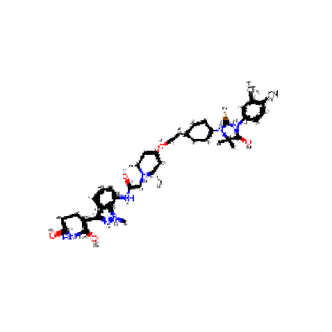 C[C@@H]1C[C@H](OCC[C@H]2CC[C@H](N3C(=S)N(c4ccc(C#N)c(C(F)(F)F)c4)C(=O)C3(C)C)CC2)C[C@H](C)N1CC(=O)Nc1cccc2c(C3CCC(=O)NC3=O)nn(C)c12